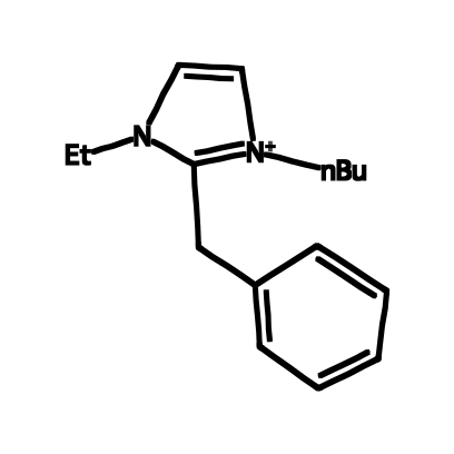 CCCC[n+]1ccn(CC)c1Cc1ccccc1